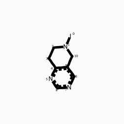 IN1CCc2ncncc2C1